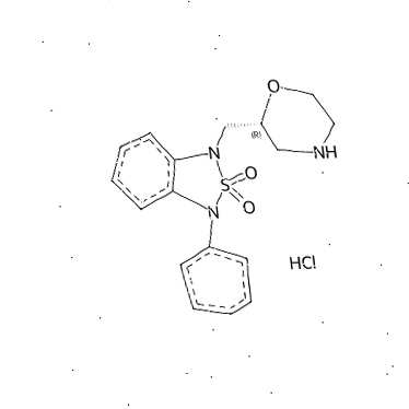 Cl.O=S1(=O)N(C[C@H]2CNCCO2)c2ccccc2N1c1ccccc1